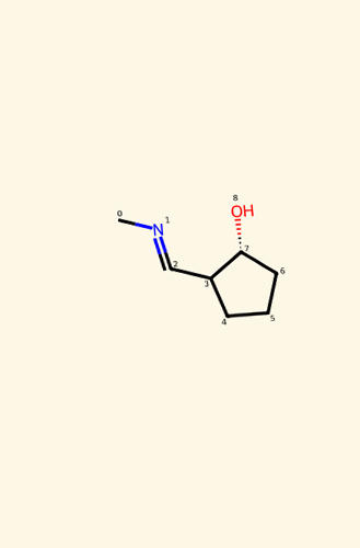 C/N=C/C1CCC[C@H]1O